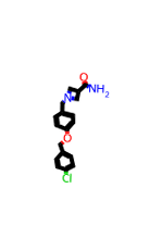 NC(=O)C1CN(Cc2ccc(OCc3ccc(Cl)cc3)cc2)C1